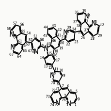 c1cnc2c(c1)cc(-c1ccc(-c3ccc4c(c3)c3cc(-c5ccc(-c6cc7cccnc7c7ncccc67)cn5)c5ccccc5c3n4-c3ccc(-c4cc5cccnc5c5ncccc45)cn3)nc1)c1cccnc12